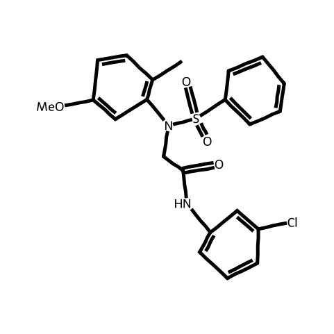 COc1ccc(C)c(N(CC(=O)Nc2cccc(Cl)c2)S(=O)(=O)c2ccccc2)c1